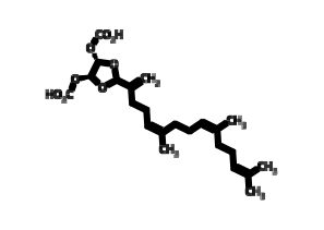 C=C(CCC=C(C)CCC=C(C)CCC=C(C)C)C1O[C@@H](OC(=O)O)[C@H](OC(=O)O)O1